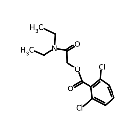 CCN(CC)C(=O)COC(=O)c1c(Cl)cccc1Cl